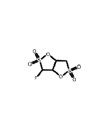 O=S1(=O)CC2OS(=O)(=O)C(F)C2O1